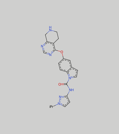 CC(C)n1ccc(NC(=O)n2ccc3cc(Oc4ncnc5c4CCNC5)ccc32)n1